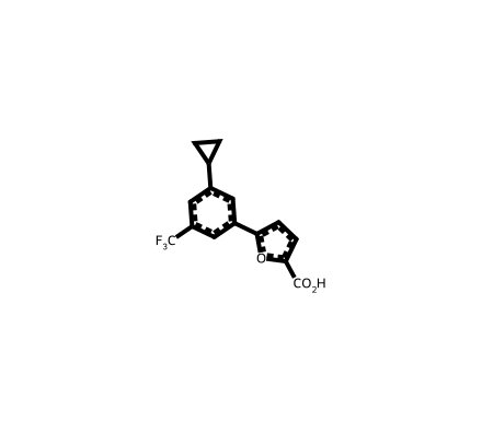 O=C(O)c1ccc(-c2cc(C3CC3)cc(C(F)(F)F)c2)o1